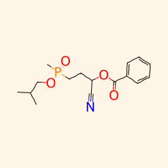 CC(C)COP(C)(=O)CCC(C#N)OC(=O)c1ccccc1